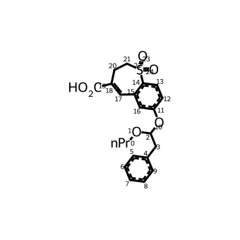 CCCOC(Cc1ccccc1)Oc1ccc2c(c1)C=C(C(=O)O)CCS2(=O)=O